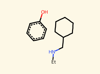 CCNCC1CCCCC1.Oc1ccccc1